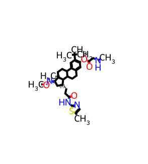 CNCC(=O)Oc1cc2c(cc1C(C)(C)C)C1CC[C@]3(C)/C(=N/OC)C[C@@H](CCC(=O)Nc4ncc(C)s4)C3C1CC2